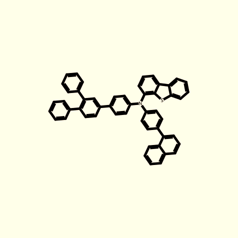 c1ccc(-c2ccc(-c3ccc(N(c4ccc(-c5cccc6ccccc56)cc4)c4cccc5c4sc4ccccc45)cc3)cc2-c2ccccc2)cc1